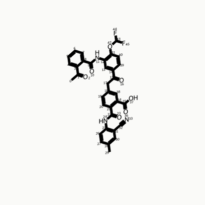 CC(=O)c1ccccc1C(=O)Nc1cc(C(=O)Cc2ccc(C(=O)Nc3ccc(C)cc3C#N)c(C(=O)O)c2)ccc1OC(F)F